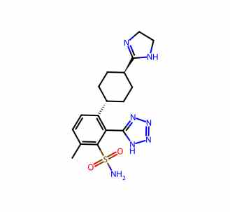 Cc1ccc([C@H]2CC[C@H](C3=NCCN3)CC2)c(-c2nnn[nH]2)c1S(N)(=O)=O